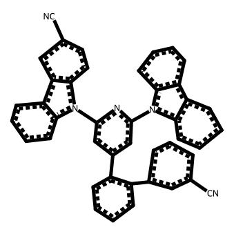 N#Cc1cccc(-c2ccccc2-c2cc(-n3c4ccccc4c4ccccc43)nc(-n3c4ccccc4c4cc(C#N)ccc43)c2)c1